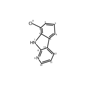 Clc1cccc2c1[nH]c1ncccc12